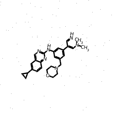 CN(C)/C=C(\C=N)c1cc(CN2CCOCC2)cc(Nc2ncc3cc(C4CC4)ccc3n2)c1